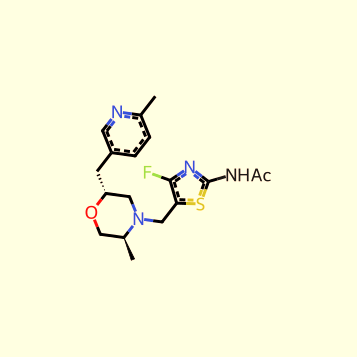 CC(=O)Nc1nc(F)c(CN2C[C@@H](Cc3ccc(C)nc3)OC[C@@H]2C)s1